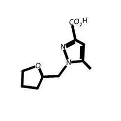 Cc1cc(C(=O)O)nn1CC1CCCO1